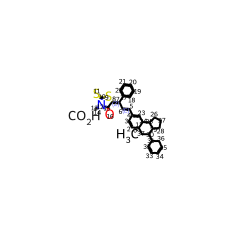 CC12C=CC(/C=C/C(=C3/SC(=S)N(CC(=O)O)C3=O)c3ccccc3)=CC1C1CCCC1C(C1C=CC=CC1)C2